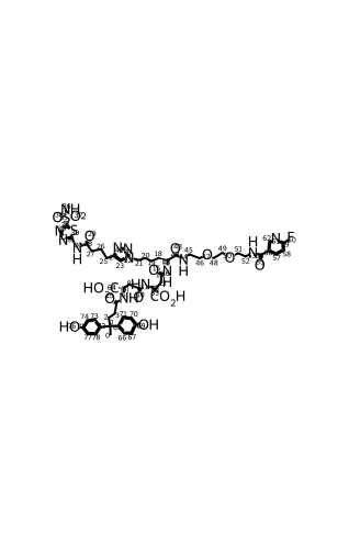 CC(CCC(=O)N[C@@H](CC(=O)N[C@@H](CC(=O)N[C@@H](CCCCn1cc(CCCC(=O)Nc2nnc(S(N)(=O)=O)s2)nn1)C(=O)NCCOCCOCCNC(=O)c1ccc(F)nc1)C(=O)O)C(=O)O)(c1ccc(O)cc1)c1ccc(O)cc1